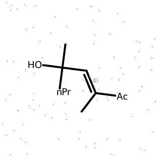 CCCC(C)(O)/C=C(\C)C(C)=O